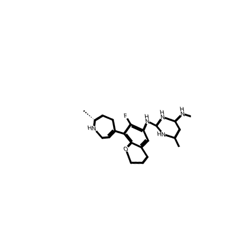 CNC1CC(C)NC(Nc2cc3c(c(C4=CCN[C@H](C)CC4)c2F)OCCC3)N1